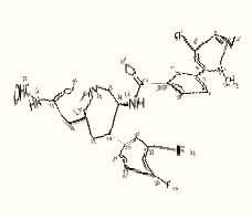 Cn1ncc(Cl)c1-c1ccc(C(=O)N[C@@H]2CNC(CC(=O)NC=O)C[C@H]2c2ccc(F)c(F)c2)s1